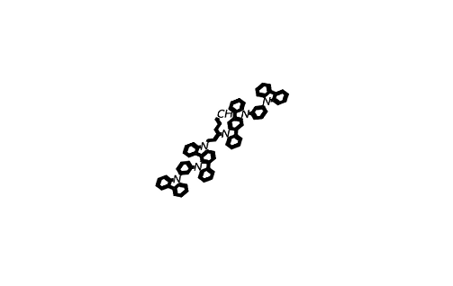 C=CCC/C(=C\Cn1c2ccccc2c2c1ccc1c3ccccc3n(-c3cccc(-n4c5ccccc5c5ccccc54)c3)c12)n1c2ccccc2c2cc3c(cc21)c1ccccc1n3-c1cccc(-n2c3ccccc3c3ccccc32)c1